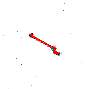 CC(C)(C)OC(=O)N(CCOCCOCCOCCOCCOCCOCCOCCOCCOCCOCCOc1cc(Cl)cc(NC(=O)NCc2ccc3c(c2)CN(C2CCC(=O)NC2=O)C3=O)c1)C(=O)OC(C)(C)C